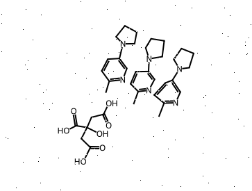 Cc1ccc(N2CCCC2)cn1.Cc1ccc(N2CCCC2)cn1.Cc1ccc(N2CCCC2)cn1.O=C(O)CC(O)(CC(=O)O)C(=O)O